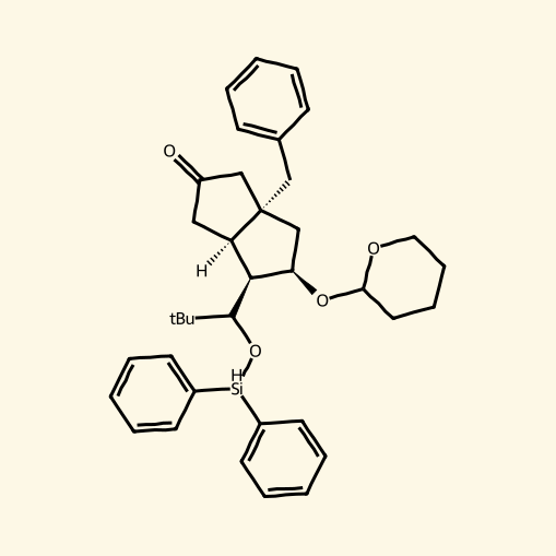 CC(C)(C)C(O[SiH](c1ccccc1)c1ccccc1)[C@H]1[C@H]2CC(=O)C[C@@]2(Cc2ccccc2)C[C@H]1OC1CCCCO1